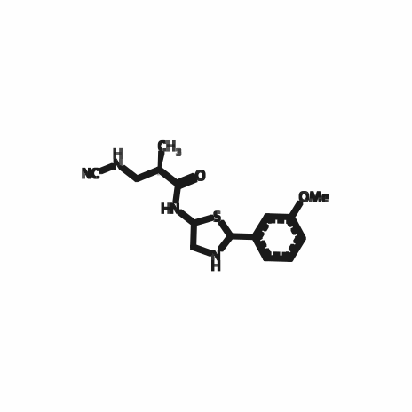 COc1cccc(C2NCC(NC(=O)[C@H](C)CNC#N)S2)c1